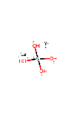 O[Si](O)(O)O.[La].[Y]